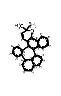 BC1(C)C=Cc2c3c(c4ccccc4c2O1)-c1cccc2cccc(c12)-c1ccccc1-3